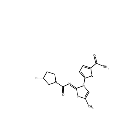 Cc1cn(-c2ccc(C(N)=O)s2)c(=NC(=O)N2CC[C@@H](F)C2)s1